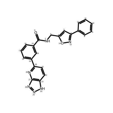 O=C(NCc1cc(-c2ccccc2)no1)c1cccc(-c2ccc3[nH]nnc3n2)c1